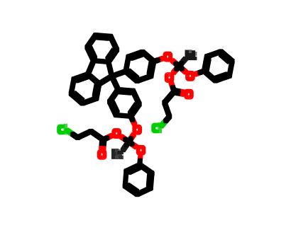 CCC(OC(=O)CCCl)(Oc1ccccc1)Oc1ccc(C2(c3ccc(OC(CC)(OC(=O)CCCl)Oc4ccccc4)cc3)c3ccccc3-c3ccccc32)cc1